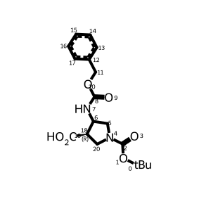 CC(C)(C)OC(=O)N1CC(NC(=O)OCc2ccccc2)[C@H](C(=O)O)C1